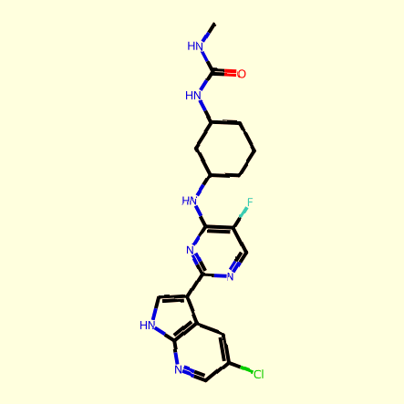 CNC(=O)NC1CCCC(Nc2nc(-c3c[nH]c4ncc(Cl)cc34)ncc2F)C1